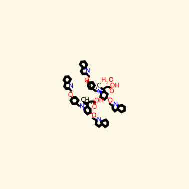 Cc1c(CC(=O)O)c2cc(OCc3ccc4ccccc4n3)ccc2n1Cc1ccc(OCc2ccc3ccccc3n2)cc1.Cc1c(CC(=O)O)c2cc(OCc3ccc4ccccc4n3)ccc2n1Cc1ccc(OCc2ccc3ccccc3n2)cc1.O